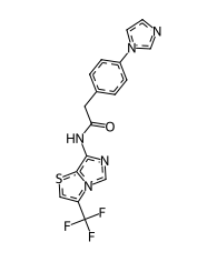 O=C(Cc1ccc(-n2ccnc2)cc1)Nc1ncn2c(C(F)(F)F)csc12